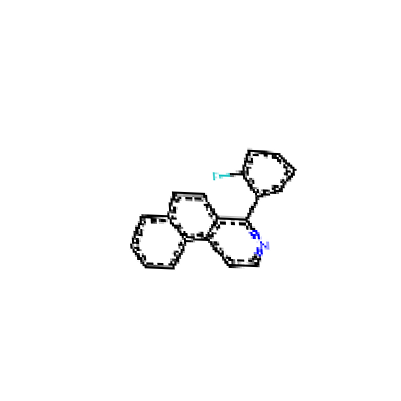 Fc1ccccc1-c1nccc2c1ccc1ccccc12